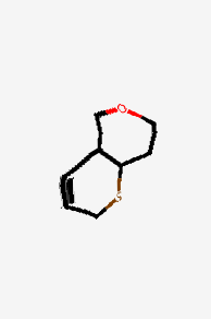 [C]1=CC2COCCC2SC1